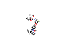 COCCN(CCOC)c1cc(F)cc(OCc2ccc(N(C)C(=O)N3CCCC3C)cc2)c1